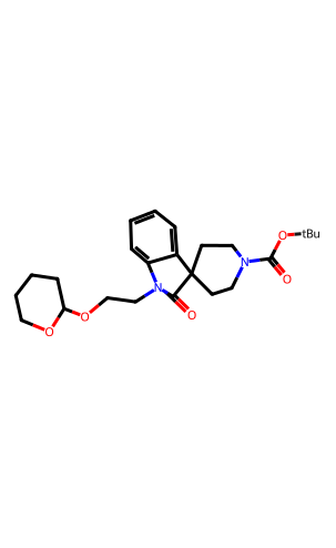 CC(C)(C)OC(=O)N1CCC2(CC1)C(=O)N(CCOC1CCCCO1)c1ccccc12